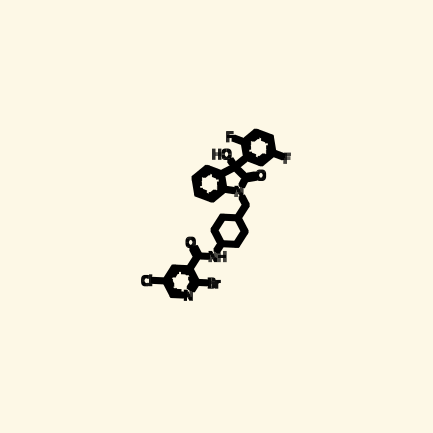 O=C(NC1CCC(CN2C(=O)C(O)(c3cc(F)ccc3F)c3ccccc32)CC1)c1cc(Cl)cnc1Br